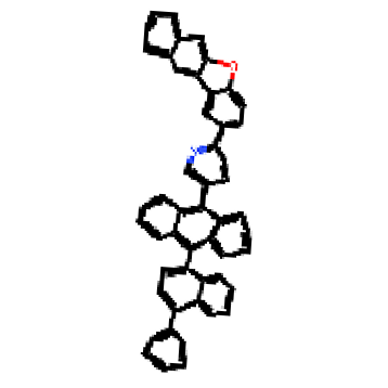 c1ccc(-c2ccc(-c3c4ccccc4c(-c4ccc(-c5ccc6oc7cc8ccccc8cc7c6c5)nc4)c4ccccc34)c3ccccc23)cc1